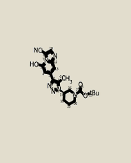 Cc1c(-c2cc(O)n3c(C#N)cnc3c2)nnn1[C@@H]1CCCN(C(=O)OC(C)(C)C)C1